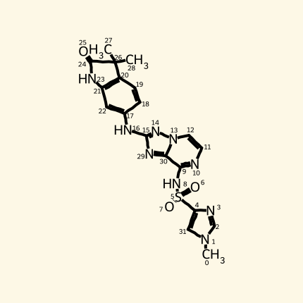 Cn1cnc(S(=O)(=O)Nc2nccn3nc(Nc4ccc5c(c4)NC(=O)C5(C)C)nc23)c1